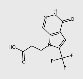 O=C(O)CCn1c(C(F)(F)F)cc2c(=O)[nH]ncc21